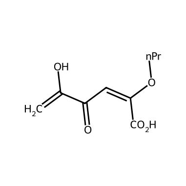 C=C(O)C(=O)C=C(OCCC)C(=O)O